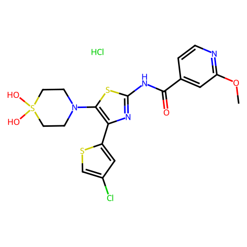 COc1cc(C(=O)Nc2nc(-c3cc(Cl)cs3)c(N3CCS(O)(O)CC3)s2)ccn1.Cl